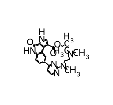 CCOC(=O)c1c[nH]c2c(=O)[nH]c3ccc(-c4ccnc(N(C)CCN(C)C)n4)cc3c12